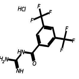 Cl.N=C(N)NC(=O)c1cc(C(F)(F)F)cc(C(F)(F)F)c1